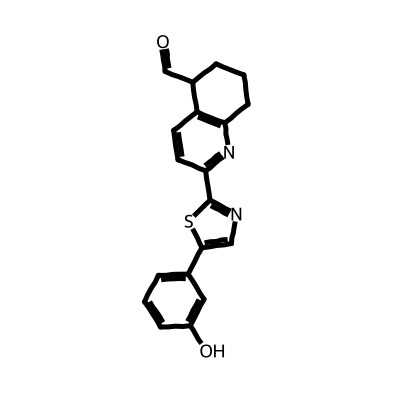 O=CC1CCCc2nc(-c3ncc(-c4cccc(O)c4)s3)ccc21